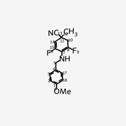 COc1ccc(CNC2=C(F)CC(C)(C#N)C=C2F)cc1